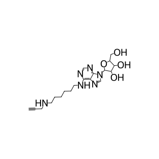 C#CCNCCCCCCNc1ncnc2c1ncn2C1OC(CO)C(O)C1O